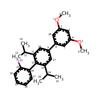 COc1cc(OC)cc(-c2cc(C(C)C)c(-c3ccccc3I)c(C(C)C)c2)c1